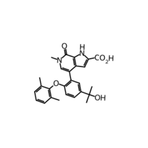 Cc1cccc(C)c1Oc1ccc(C(C)(C)O)cc1-c1cn(C)c(=O)c2[nH]c(C(=O)O)cc12